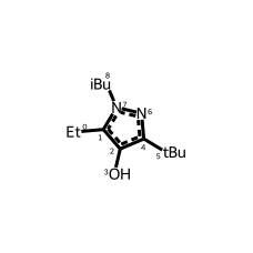 CCc1c(O)c(C(C)(C)C)nn1C(C)CC